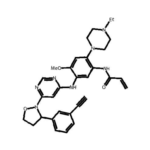 C#Cc1cccc(C2CCON2c2cc(Nc3cc(NC(=O)C=C)c(N4CCN(CC)CC4)cc3OC)ncn2)c1